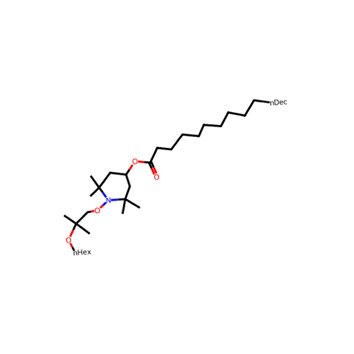 CCCCCCCCCCCCCCCCCCCC(=O)OC1CC(C)(C)N(OCC(C)(C)OCCCCCC)C(C)(C)C1